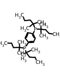 CCCC(C)(C)P(c1ccc(P(C(C)(C)CCC)C(C)(C)CCC)cc1)C(C)(C)CCC